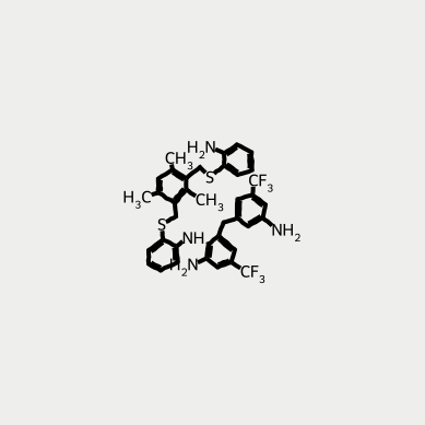 Cc1cc(C)c(CSc2ccccc2N)c(C)c1CSc1ccccc1N.Nc1cc(Cc2cc(N)cc(C(F)(F)F)c2)cc(C(F)(F)F)c1